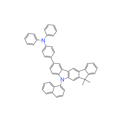 CC1(C)c2ccccc2-c2cc3c4cc(-c5ccc(N(c6ccccc6)c6ccccc6)cc5)ccc4n(-c4cccc5ccccc45)c3cc21